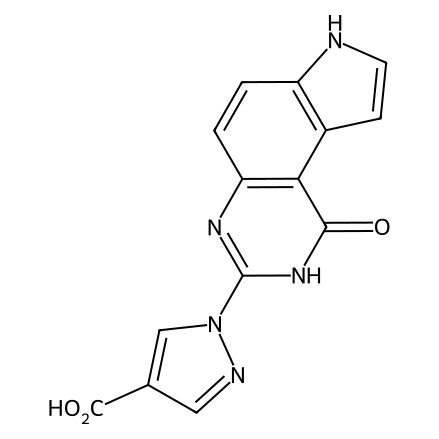 O=C(O)c1cnn(-c2nc3ccc4[nH]ccc4c3c(=O)[nH]2)c1